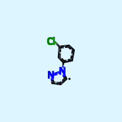 Clc1cccc(-n2[c]ccn2)c1